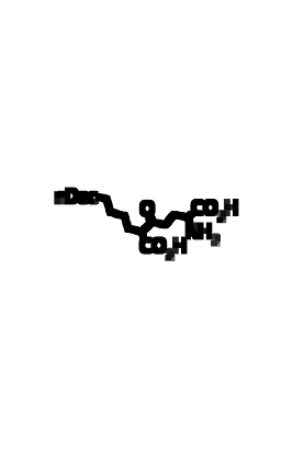 CCCCCCCCCCCCCCC(C(=O)O)C(=O)CCC(N)C(=O)O